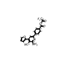 N#Cc1c(-c2ccco2)cc(-c2ccc(C(=O)OC(=O)C(F)(F)F)cc2)nc1N